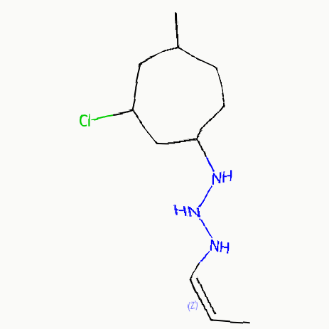 C/C=C\NNNC1CCC(C)CC(Cl)C1